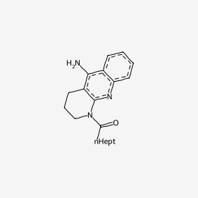 CCCCCCCC(=O)N1CCCc2c1nc1ccccc1c2N